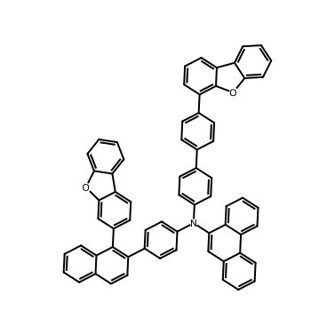 c1ccc2c(-c3ccc4c(c3)oc3ccccc34)c(-c3ccc(N(c4ccc(-c5ccc(-c6cccc7c6oc6ccccc67)cc5)cc4)c4cc5ccccc5c5ccccc45)cc3)ccc2c1